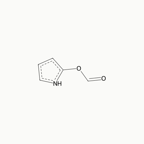 O=COc1ccc[nH]1